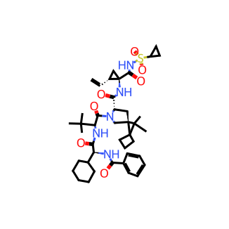 C=C[C@@H]1C[C@]1(NC(=O)[C@@H]1C[C@@]2(CN1C(=O)[C@@H](NC(=O)[C@@H](NC(=O)c1ccccc1)C1CCCCC1)C(C)(C)C)C(C)(C)C21CCC1)C(=O)NS(=O)(=O)C1CC1